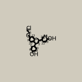 C/C(=C\C(c1ccc(O)cc1)c1ccc(OCCCl)cc1)c1ccc(O)nc1